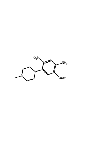 COc1cc(C2CCN(C)CC2)c([N+](=O)[O-])cc1N